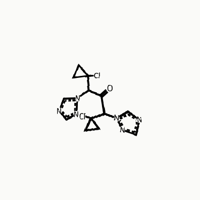 O=C(C(n1cncn1)C1(Cl)CC1)C(n1cncn1)C1(Cl)CC1